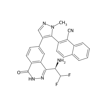 Cn1ncc(-c2ccc3c(=O)[nH]nc([C@@H](N)C(F)F)c3c2)c1-c1ccc2ccccc2c1C#N